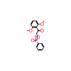 COc1cccc(OC)c1C(=O)CO[PH](=O)c1ccccc1